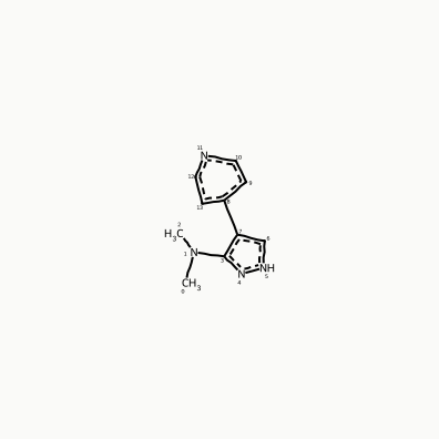 CN(C)c1n[nH]cc1-c1ccncc1